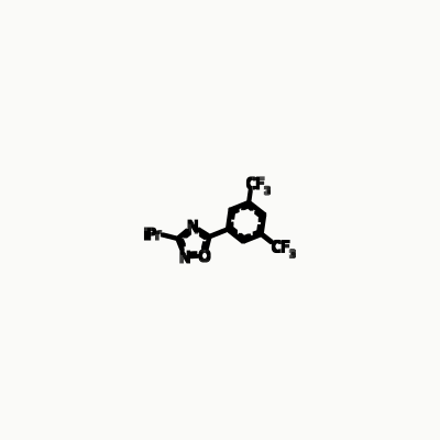 CC(C)c1noc(-c2cc(C(F)(F)F)cc(C(F)(F)F)c2)n1